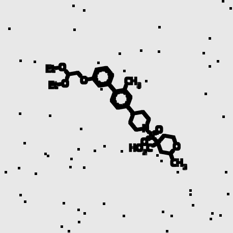 CCOC(COc1cccc(-c2ccc(C3CCN(S(=O)(=O)C4(C(=O)O)CCOC(C)C4)CC3)cc2C)c1)OCC